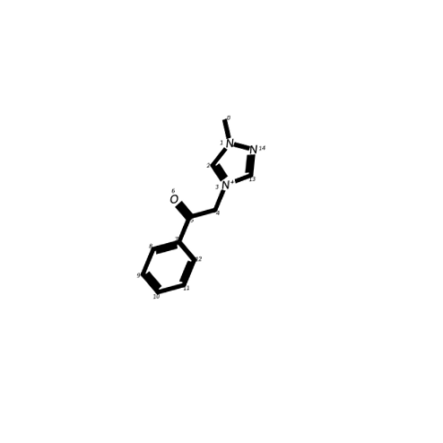 Cn1c[n+](CC(=O)c2ccccc2)cn1